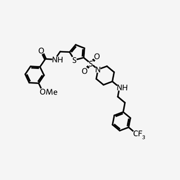 COc1cccc(C(=O)NCc2ccc(S(=O)(=O)N3CCC(NCCc4cccc(C(F)(F)F)c4)CC3)s2)c1